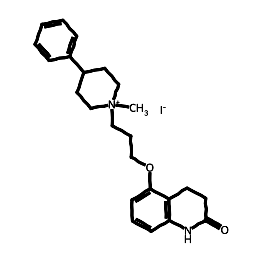 C[N+]1(CCCOc2cccc3c2CCC(=O)N3)CCC(c2ccccc2)CC1.[I-]